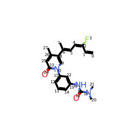 C=C/C(F)=C\C=C(/C)c1cn(-c2cccc(NC(=O)N(C)C)c2)c(=O)cc1C